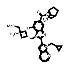 COC[C@]1(C)C[C@H](Cn2c(-c3cc4cccnc4n3CC3CC3)nc3cc(C(=O)N4CC5CCC4C5N)cc(F)c32)C1